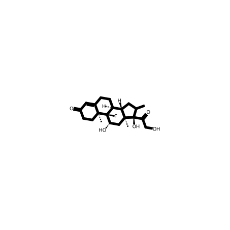 CC1C[C@H]2[C@@H]3CCC4=CC(=O)CC[C@]4(C)[C@@]3(F)[C@@H](O)C[C@]2(C)[C@@]1(O)C(=O)CO